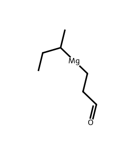 CC[CH](C)[Mg][CH2]CC=O